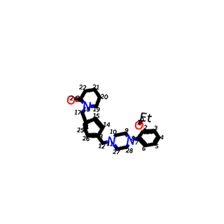 CCOc1ccccc1N1CCN(Cc2ccc(CN3CCCCC3=O)cc2)CC1